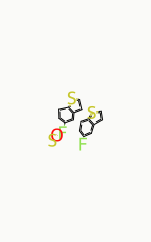 Fc1ccc2sccc2c1.Fc1ccc2sccc2c1.O=S